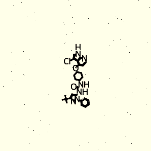 CC(C)(C)c1cc(NC(=O)NC2CCC(Oc3ccnc4[nH]cc(Cl)c34)CC2)n(-c2ccccc2)n1